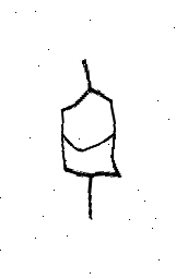 CC1CC2CC(C)CC(C1)C2